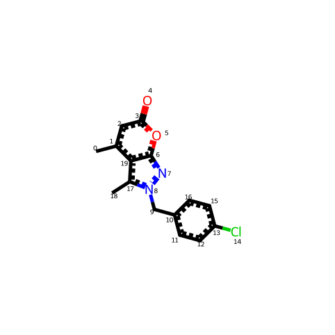 Cc1cc(=O)oc2nn(Cc3ccc(Cl)cc3)c(C)c12